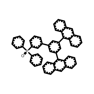 O=P(c1ccccc1)(c1ccccc1)c1cccc(-c2cc(-c3c4ccccc4cc4ccccc34)cc(-c3c4ccccc4cc4ccccc34)c2)c1